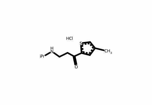 Cc1csc(C(=O)CCNC(C)C)c1.Cl